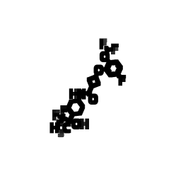 CC(O)(C1CCC(NC(=O)C2CC(Oc3cc(F)ccc3OC(F)F)C2)CC1)C(F)(F)F